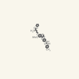 COc1cc2c(Oc3ccc(NC(=O)Nc4ccc(C)cc4)cc3F)ccnc2cc1OCCCC(N)C(=O)OC1CCCC1